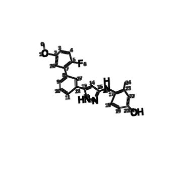 COc1ccc(F)c(-c2cccc(-c3cc(Nc4ccc(O)cc4C)n[nH]3)c2)c1